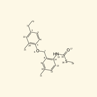 CCc1ccc(OCc2cc(C)ccc2NC(=O)SC)c(C)c1